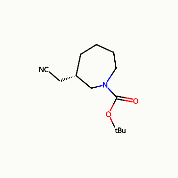 CC(C)(C)OC(=O)N1CCCC[C@@H](CC#N)C1